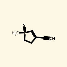 C#CC1=CP(C)(=S)CC1